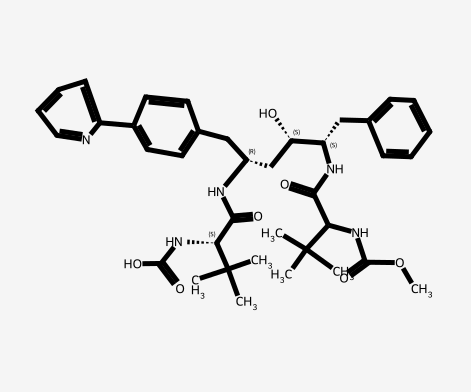 COC(=O)NC(C(=O)N[C@@H](Cc1ccccc1)[C@@H](O)C[C@@H](Cc1ccc(-c2ccccn2)cc1)NC(=O)[C@@H](NC(=O)O)C(C)(C)C)C(C)(C)C